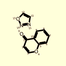 O=c1ccoc2ccccc12.c1conn1